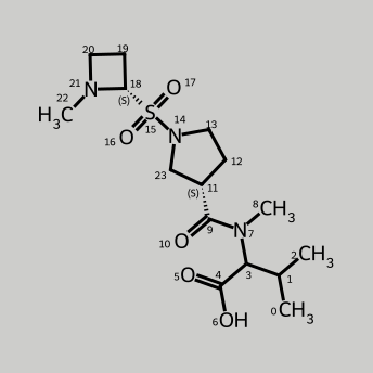 CC(C)C(C(=O)O)N(C)C(=O)[C@H]1CCN(S(=O)(=O)[C@H]2CCN2C)C1